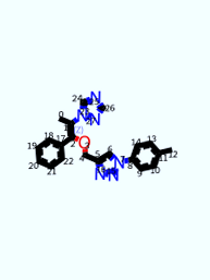 C/C(=C(/OCc1cn(-c2ccc(C)cc2)nn1)c1ccccc1)n1cncn1